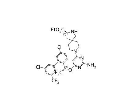 CCOC(=O)[C@@H]1CC2(CCN(c3cc(O[C@H](c4ccc(Cl)cc4-c4cc(Cl)cc(C(F)(F)F)c4)C(F)(F)F)nc(N)n3)CC2)CN1